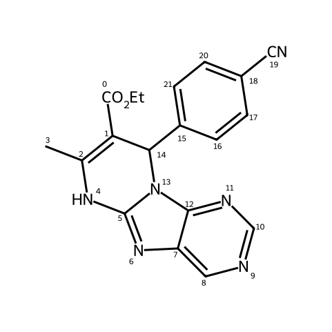 CCOC(=O)C1=C(C)Nc2nc3cncnc3n2C1c1ccc(C#N)cc1